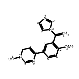 C=C(c1cc(C2=CCN(O)C=N2)ccc1OC)n1ccnc1